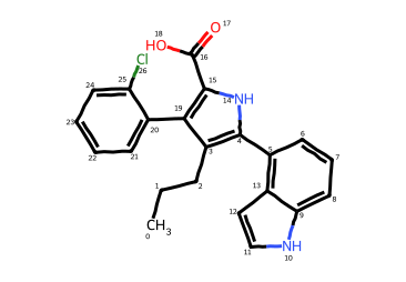 CCCc1c(-c2cccc3[nH]ccc23)[nH]c(C(=O)O)c1-c1ccccc1Cl